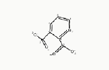 O=C([O-])C1=CC=[CH][Bi]=[C]1C(=O)[O-]